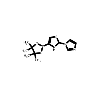 CC1(C)OB(C2=CSC(n3ccnc3)N2)OC1(C)C